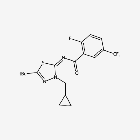 CC(C)(C)c1nn(CC2CC2)c(=NC(=O)c2cc(C(F)(F)F)ccc2F)s1